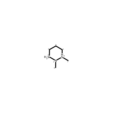 CN1[SiH2]CCC[SiH]1C